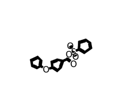 O=C(OS(=O)(=O)c1ccccc1)c1ccc(Oc2ccccc2)cc1